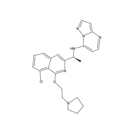 C[C@H](Nc1ccnc2ccnn12)c1cc2cccc(Cl)c2c(OCCN2CCCC2)n1